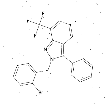 FC(F)(F)c1cccc2c(-c3ccccc3)n(Cc3ccccc3Br)nc12